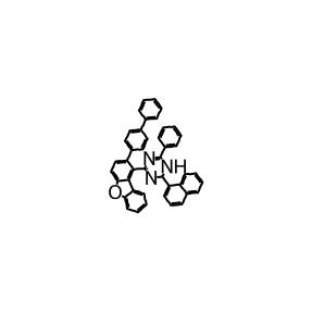 c1ccc(C2=NC(c3c(-c4ccc(-c5ccccc5)cc4)ccc4oc5ccccc5c34)=NC(c3cccc4ccccc34)N2)cc1